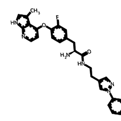 Cc1c[nH]c2nccc(Oc3ccc(C[C@H](N)C(=O)NCCc4cnn(-c5ccccc5)c4)cc3F)c12